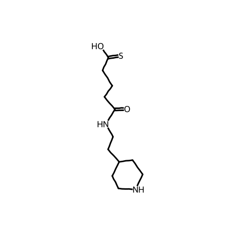 O=C(CCCC(O)=S)NCCC1CCNCC1